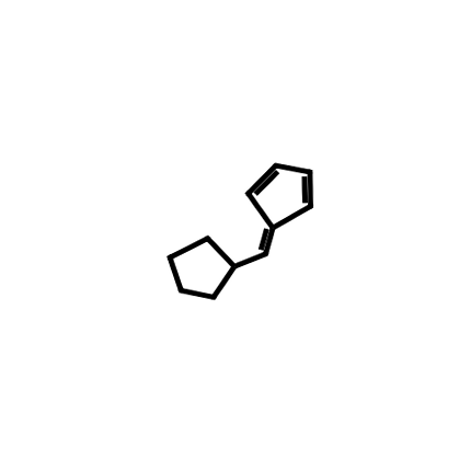 C1=CC(=CC2CCCC2)C=C1